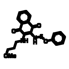 COCCCNC1=C(NSOc2ccccc2)C(=O)c2ccccc2C1=O